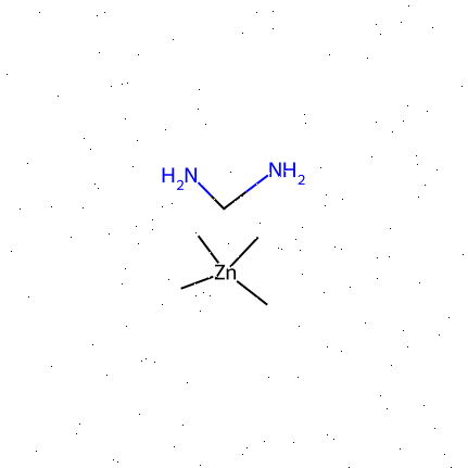 NCN.[CH3][Zn]([CH3])([CH3])[CH3]